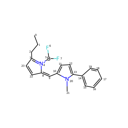 CCCC1=[N+](B(F)F)/C(=C\c2ccc(-c3ccccc3)n2C)C=C1